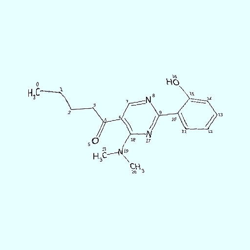 CCCCC(=O)c1cnc(-c2ccccc2O)nc1N(C)C